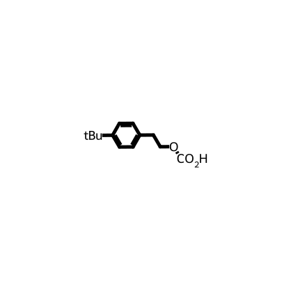 CC(C)(C)c1ccc(CCOC(=O)O)cc1